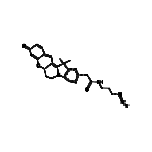 CC1(C)C2=C3C=C4C=CC(=O)C=C4OC3CCN2c2ccc(CC(=O)NCCCN=[N+]=[N-])cc21